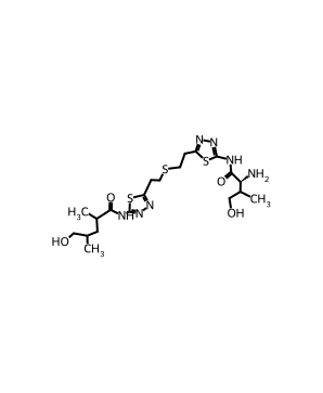 CC(CO)CC(C)C(=O)Nc1nnc(CCSCCc2nnc(NC(=O)[C@@H](N)C(C)CO)s2)s1